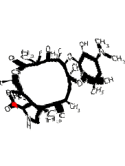 C#CCO[C@@]1(C)C[C@@H](C)C(=O)[C@]2(C)CN[C@H]3C(=O)O[C@](C)([C@@H](CC)OC(=O)[C@](C)(F)C(=O)[C@H](C)[C@H]1O[C@@H]1O[C@H](C)C[C@H](N(C)C)[C@H]1O)[C@H]32